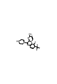 CC1C=CN2C(=N1)C(N1CCNCC1)=Nc1ccc(C(F)(F)F)c(F)c12